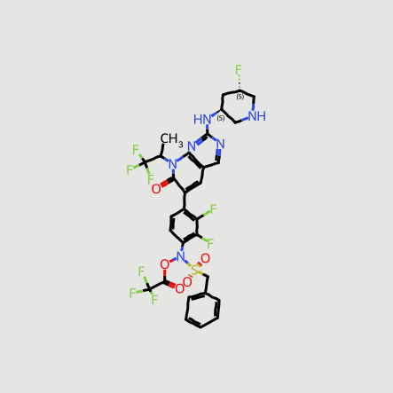 CC(n1c(=O)c(-c2ccc(N(OC(=O)C(F)(F)F)S(=O)(=O)Cc3ccccc3)c(F)c2F)cc2cnc(N[C@@H]3CNC[C@@H](F)C3)nc21)C(F)(F)F